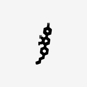 C=CCCC1CCC(C2=CCC(c3ccc(F)cc3)C(F)=C2F)CC1